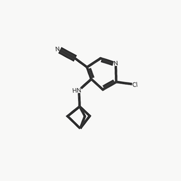 N#Cc1cnc(Cl)cc1NC12CC(C1)C2